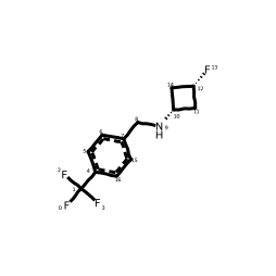 FC(F)(F)c1ccc(CN[C@H]2C[C@@H](F)C2)cc1